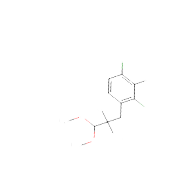 CC(C)(Cc1ccc(Br)c(C=O)c1Br)C(O[SiH3])O[SiH3]